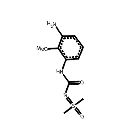 COc1c(N)cccc1NC(=O)N=S(C)(C)=O